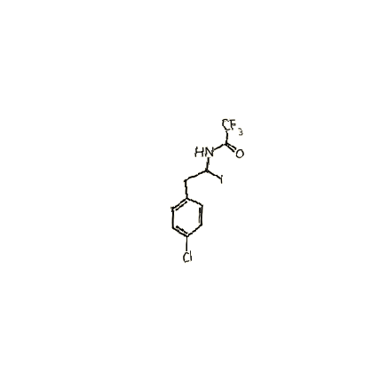 O=C(NC(I)Cc1ccc(Cl)cc1)C(F)(F)F